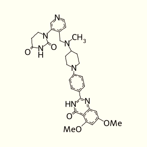 COc1cc(OC)c2c(=O)[nH]c(-c3ccc(N4CCC(N(C)Cc5ccncc5N5CCC(=O)NC5=O)CC4)cc3)nc2c1